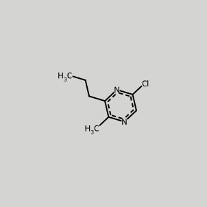 CCCc1nc(Cl)cnc1C